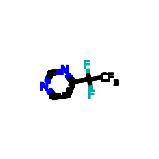 FC(F)(F)C(F)(F)c1c[c]ncn1